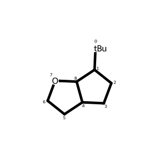 CC(C)(C)C1CCC2CCOC21